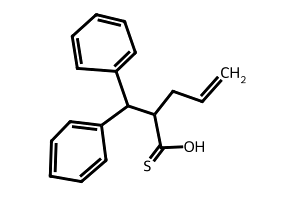 C=CCC(C(O)=S)C(c1ccccc1)c1ccccc1